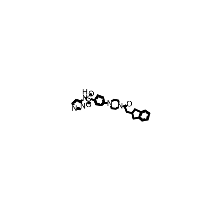 O=C(CC1Cc2ccccc2C1)N1CCN(c2ccc(S(=O)(=O)Nc3ccncn3)cc2)CC1